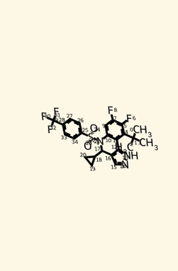 CC(C)(C)c1c(F)c(F)cc2c1-c1[nH]ncc1C(C1CC1)N2S(=O)(=O)c1ccc(C(F)(F)F)cc1